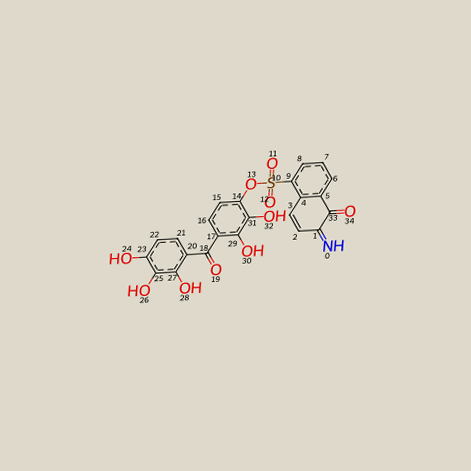 N=C1C=Cc2c(cccc2S(=O)(=O)Oc2ccc(C(=O)c3ccc(O)c(O)c3O)c(O)c2O)C1=O